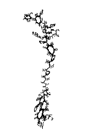 Cc1ncsc1-c1ccc(CNC(=O)[C@@H]2CCCN2C(=O)[C@@H](NC(=O)c2ccc(OCCCOCCCCCOc3ncc(N4C(=S)N(c5ccc(C#N)c(C(F)(F)F)c5F)C(=O)C4(C)C)cc3F)cc2)C(C)(C)C)cc1